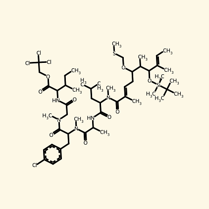 C/C=C(\C)C(O[Si](C)(C)C(C)(C)C)C(C)C(C/C=C(\C)C(=O)N(C)C(CC(C)C)C(=O)NC(C)C(=O)N(C)C(Cc1ccc(Cl)cc1)C(=O)N(C)CC(=O)NC(C(=O)OCC(Cl)(Cl)Cl)C(C)CC)OCSC